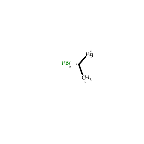 Br.C[CH2][Hg]